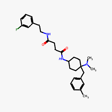 Cc1cccc(CC2(N(C)C)CCC(NC(=O)CCC(=O)NCCc3cccc(F)c3)CC2)c1